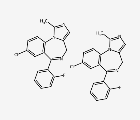 Cc1ncc2n1-c1ccc(Cl)cc1C(c1ccccc1F)=NC2.Cc1ncc2n1-c1ccc(Cl)cc1C(c1ccccc1F)=NC2